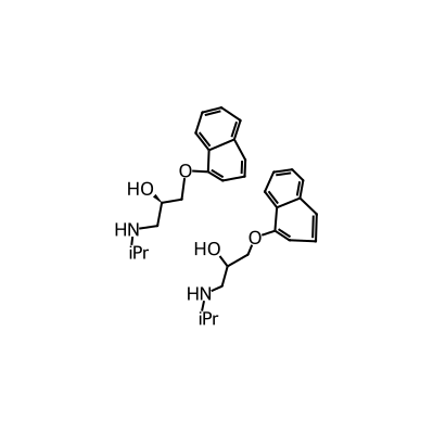 CC(C)NCC(O)COc1cccc2ccccc12.CC(C)NC[C@@H](O)COc1cccc2ccccc12